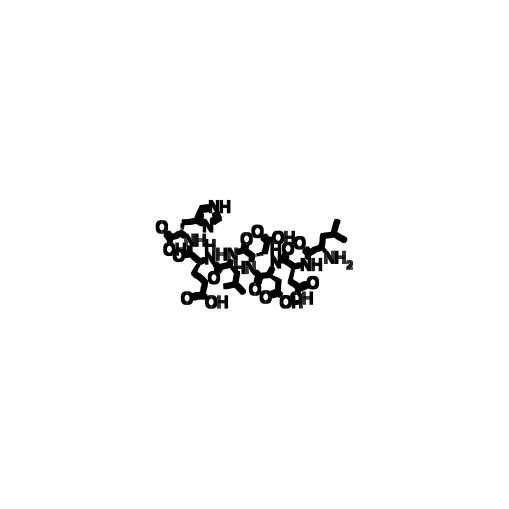 CC(C)C[C@H](NC(=O)[C@H](CC(=O)O)NC(=O)[C@H](CC(=O)O)NC(=O)[C@H](CC(=O)O)NC(=O)[C@@H](N)CC(C)C)C(=O)N[C@@H](CCC(=O)O)C(=O)N[C@@H](Cc1c[nH]cn1)C(=O)O